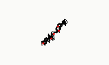 Cc1cc(-c2ccc3c(c2)CCN(CCCSc2nnc(-c4ccc5cnccc5n4)n2C)CC3)no1